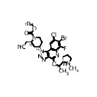 C[C@H](Oc1nc2c(F)c(Br)c(Cl)cc2c2c1nnn2[C@H]1CCN(C(=O)OC(C)(C)C)[C@H](CC#N)C1)[C@@H]1CCCN1C